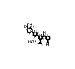 CC(=O)N1CCCN(c2ccc(-c3cc(C4CC4)cc(Nc4cc(C#N)ccn4)n3)cn2)CC1.Cl